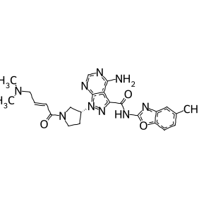 Cc1ccc2oc(NC(=O)c3nn([C@@H]4CCN(C(=O)/C=C/CN(C)C)C4)c4ncnc(N)c34)nc2c1